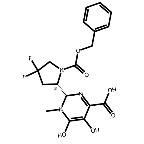 CN1C(O)=C(O)C(C(=O)O)=NC1[C@@H]1CC(F)(F)CN1C(=O)OCc1ccccc1